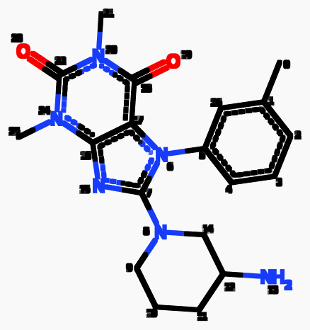 Cc1cccc(-n2c(N3CCCC(N)C3)nc3c2c(=O)n(C)c(=O)n3C)c1